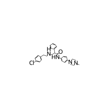 CN1CCN(c2ccc(NC(=O)C(CNCCc3ccc(Cl)cc3)c3ccccc3)cc2)CC1